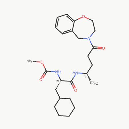 CCCOC(=O)N[C@@H](CC1CCCCC1)C(=O)N[C@H](C=O)CCC(=O)N1CCOc2ccccc2C1